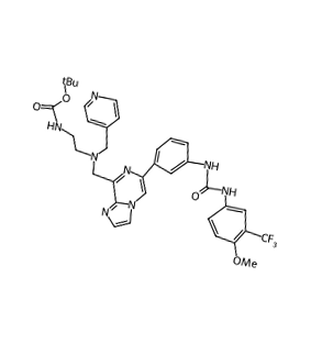 COc1ccc(NC(=O)Nc2cccc(-c3cn4ccnc4c(CN(CCNC(=O)OC(C)(C)C)Cc4ccncc4)n3)c2)cc1C(F)(F)F